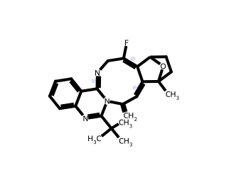 C=C1/C=C2\C(=C(\F)C/N=C3/c4ccccc4N=C(C(C)(C)C)N13)C1CCC2(C)O1